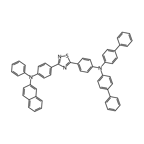 c1ccc(-c2ccc(N(c3ccc(-c4ccccc4)cc3)c3ccc(-c4nc(-c5ccc(N(c6ccccc6)c6ccc7ccccc7c6)cc5)ns4)cc3)cc2)cc1